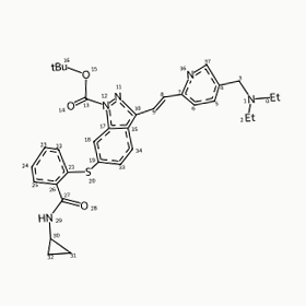 CCN(CC)Cc1ccc(/C=C/c2nn(C(=O)OC(C)(C)C)c3cc(Sc4ccccc4C(=O)NC4CC4)ccc23)nc1